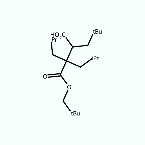 CC(C)CC(CC(C)C)(C(=O)OCC(C)(C)C)C(CC(C)(C)C)C(=O)O